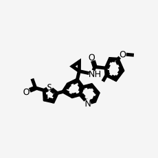 COc1ccc(C)c(C(=O)NC2(c3cc(-c4ccc(C(C)=O)s4)cc4ncccc34)CC2)c1